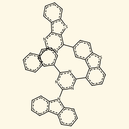 c1ccc(-c2nc(-c3cccc4sc5ccc(-c6nc(-c7ccccc7)nc7c6sc6ccccc67)cc5c34)nc(-n3c4ccccc4c4ccccc43)n2)cc1